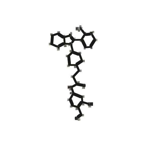 Nc1ncccc1-c1nc2cccnc2n1-c1ccc(CCC(=O)Nc2ccc(C=O)c(O)c2)cc1